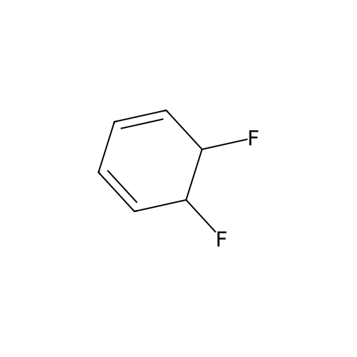 FC1C=CC=CC1F